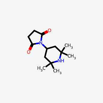 CC1(C)CC(N2C(=O)CCC2=O)CC(C)(C)N1